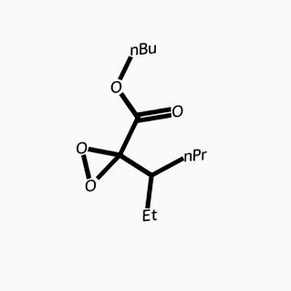 CCCCOC(=O)C1(C(CC)CCC)OO1